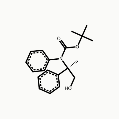 CC(C)(C)OC(=O)N(c1ccccc1)[C@@](C)(CO)c1ccccc1